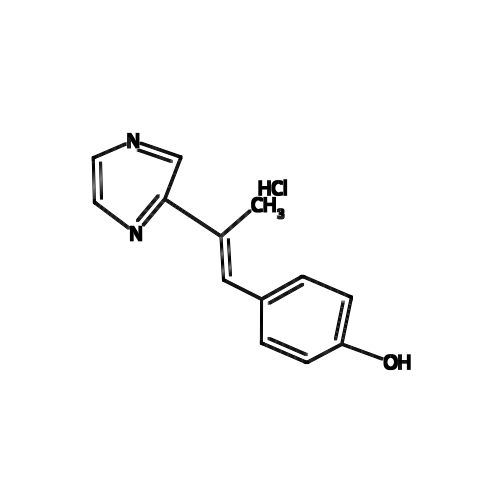 C/C(=C\c1ccc(O)cc1)c1cnccn1.Cl